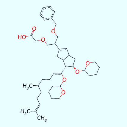 CC(C)=CCC[C@@H](C)CCC=C(OC1CCCCO1)[C@@H]1C2CC(C(COCC(=O)O)COCc3ccccc3)=CC2C[C@H]1OC1CCCCO1